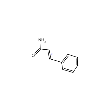 NC(=O)/C=C/c1cc[c]cc1